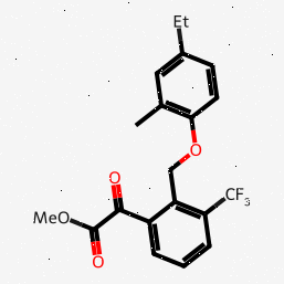 CCc1ccc(OCc2c(C(=O)C(=O)OC)cccc2C(F)(F)F)c(C)c1